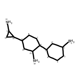 BC1CCCC(C2CCC(C3CC3N)CC2N)C1